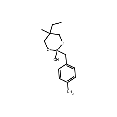 CCC1(C)CO[P](O)(Cc2ccc(N)cc2)OC1